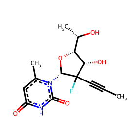 CC#CC1(F)[C@@H](O)[C@@H]([C@H](C)O)O[C@H]1n1c(C)cc(=O)[nH]c1=O